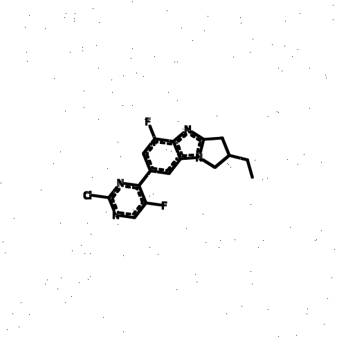 CCC1Cc2nc3c(F)cc(-c4nc(Cl)ncc4F)cc3n2C1